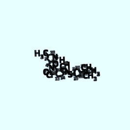 CC1=CC(CN(C=O)C(=O)c2c(Cl)ccc(NSc3ccc(C(C)(C)C)cc3)c2C)CN=C1